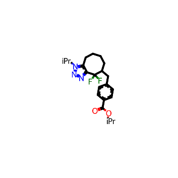 CC(C)OC(=O)c1ccc(CC2CCCCc3c(nnn3C(C)C)C2(F)F)cc1